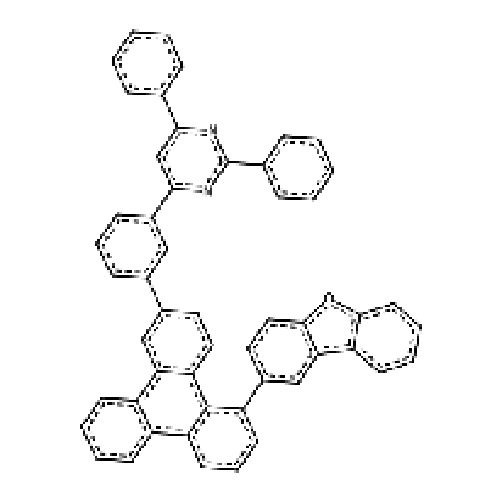 c1ccc(-c2cc(-c3cccc(-c4ccc5c(c4)c4ccccc4c4cccc(-c6ccc7oc8ccccc8c7c6)c45)c3)nc(-c3ccccc3)n2)cc1